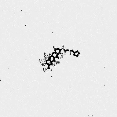 CN(C)[C@@H]1C(O)=C(C(N)=O)C(=O)[C@@]2(O)C(O)=C3C(=O)c4c(O)c(NC(=O)CNCC5CCCC5)cc(F)c4C[C@H]3C[C@@H]12